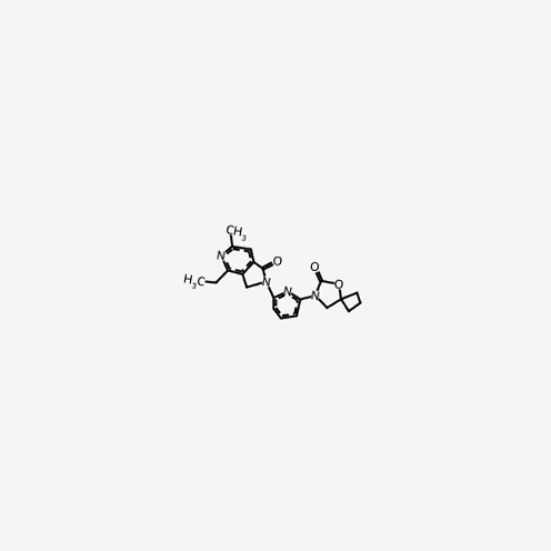 CCc1nc(C)cc2c1CN(c1cccc(N3CC4(CCC4)OC3=O)n1)C2=O